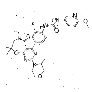 CCN1CC(C)(C)Oc2nc(N3CCOCC3C)nc(-c3ccc(NC(=O)Nc4ccc(OC)nc4)c(F)c3)c2C1=O